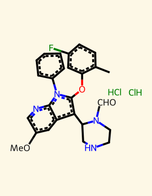 COc1cnc2c(c1)c(C1CNCCN1C=O)c(Oc1cc(F)ccc1C)n2-c1ccccc1.Cl.Cl